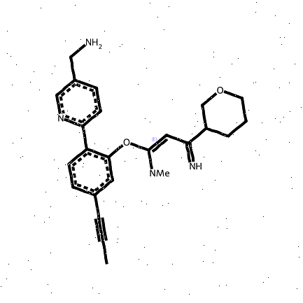 CC#Cc1ccc(-c2ccc(CN)cn2)c(O/C(=C/C(=N)C2CCCOC2)NC)c1